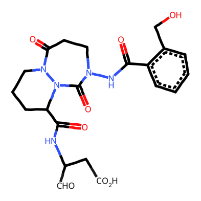 O=CC(CC(=O)O)NC(=O)C1CCCN2C(=O)CCN(NC(=O)c3ccccc3CO)C(=O)N12